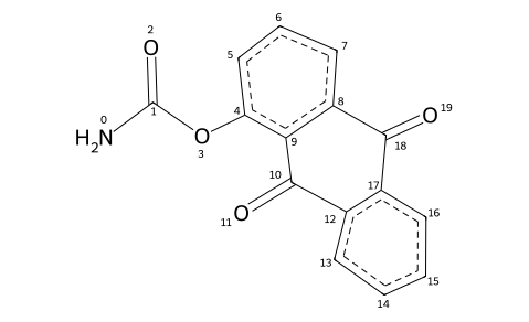 NC(=O)Oc1cccc2c1C(=O)c1ccccc1C2=O